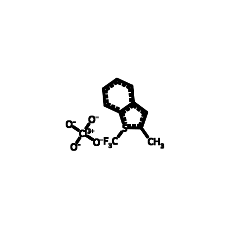 Cc1cc2ccccc2[s+]1C(F)(F)F.[O-][Cl+3]([O-])([O-])[O-]